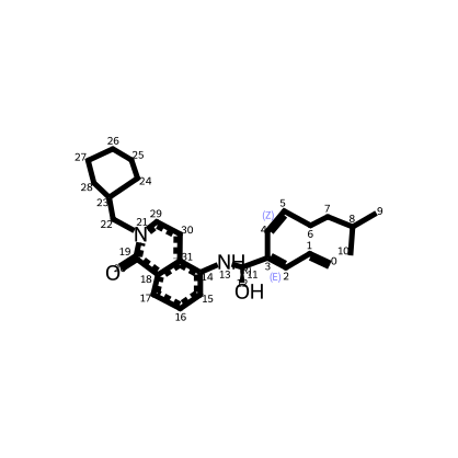 C=C/C=C(\C=C/CCC(C)C)[C@@H](O)Nc1cccc2c(=O)n(CC3CCCCC3)ccc12